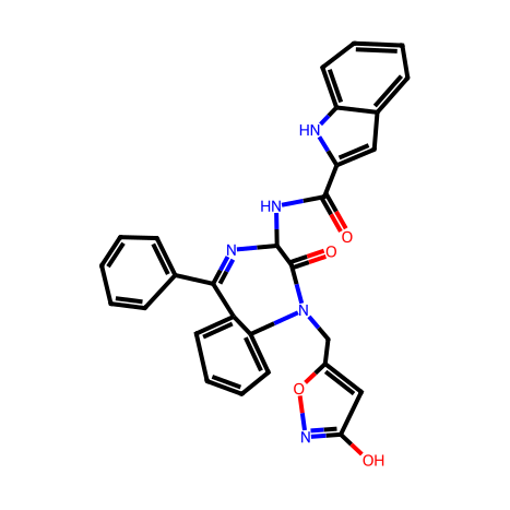 O=C(NC1N=C(c2ccccc2)c2ccccc2N(Cc2cc(O)no2)C1=O)c1cc2ccccc2[nH]1